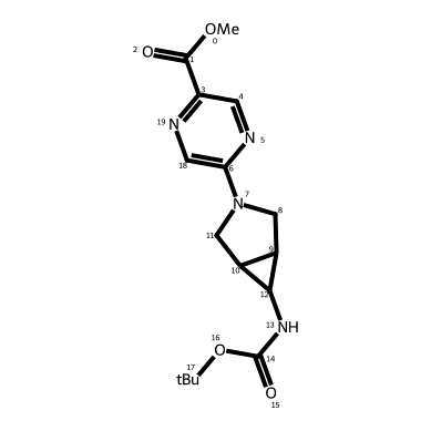 COC(=O)c1cnc(N2CC3C(C2)C3NC(=O)OC(C)(C)C)cn1